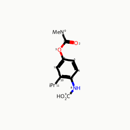 CNC(=O)Oc1ccc(NC(=O)O)c(C(C)C)c1